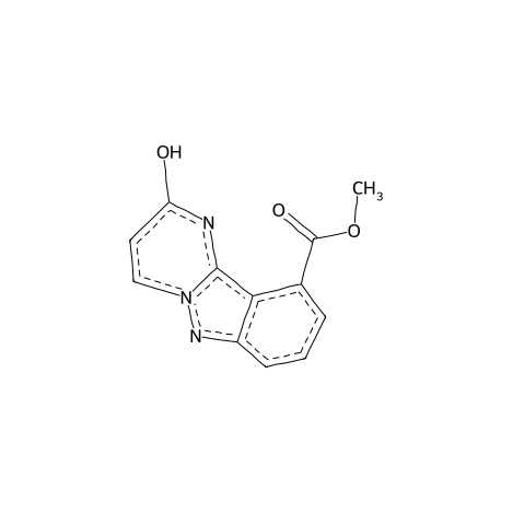 COC(=O)c1cccc2nn3ccc(O)nc3c12